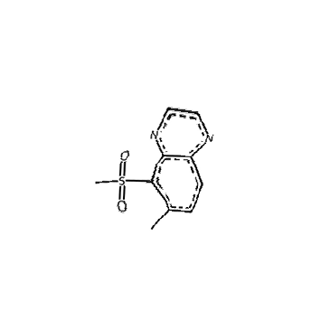 Cc1ccc2nccnc2c1S(C)(=O)=O